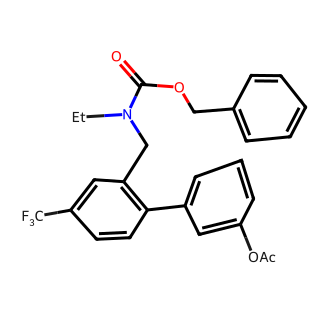 CCN(Cc1cc(C(F)(F)F)ccc1-c1cccc(OC(C)=O)c1)C(=O)OCc1ccccc1